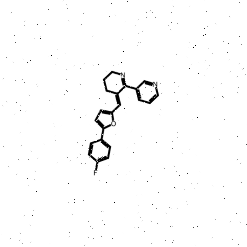 Fc1ccc(-c2ccc(/C=C3\CCCN=C3c3cccnc3)o2)cc1